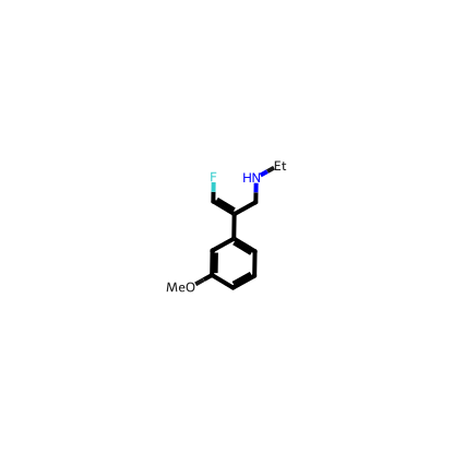 CCNCC(=CF)c1cccc(OC)c1